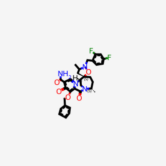 CC1C[C@]2(CC[C@H](C)N3C[C@H]2n2cc(C(N)=O)c(=O)c(OCc4ccccc4)c2C3=O)ON1Cc1ccc(F)cc1F